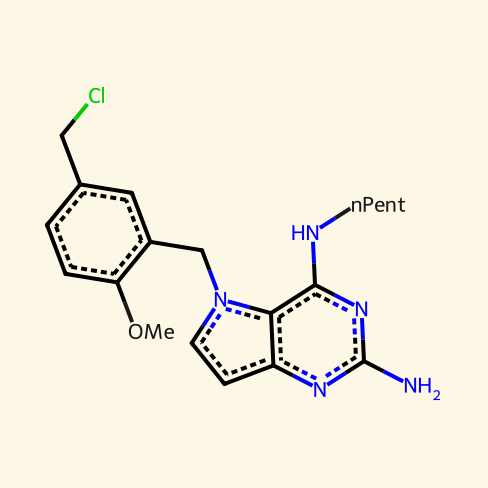 CCCCCNc1nc(N)nc2ccn(Cc3cc(CCl)ccc3OC)c12